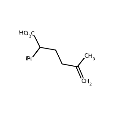 C=C(C)CCC(C(=O)O)C(C)C